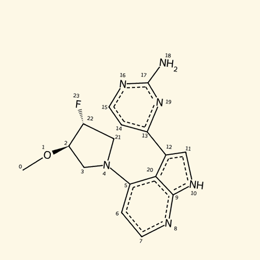 CO[C@@H]1CN(c2ccnc3[nH]cc(-c4ccnc(N)n4)c23)C[C@H]1F